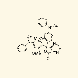 COc1cc(N(C(C)=O)c2ccccc2)ccc1C1(c2ccc(N(C(C)=O)c3ccccc3)cc2OC)OC(=O)c2nccnc21